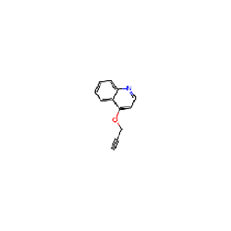 C#CCOc1ccnc2ccccc12